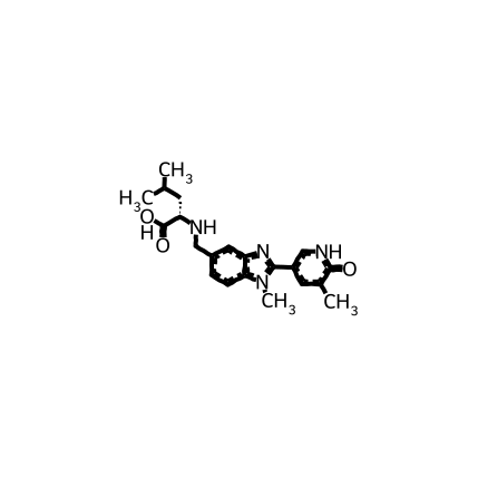 Cc1cc(-c2nc3cc(CN[C@@H](CC(C)C)C(=O)O)ccc3n2C)c[nH]c1=O